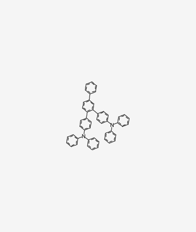 c1ccc(-c2ccc(-c3ccc(N(c4ccccc4)c4ccccc4)cc3)c(-c3ccc(N(c4ccccc4)c4ccccc4)cc3)c2)cc1